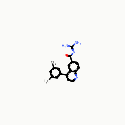 NC(N)=NC(=O)c1ccc2nccc(-c3cc(C(F)(F)F)cc(C(F)(F)F)c3)c2c1